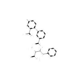 O=C(NC(Cc1ccccc1)C(O)C(=O)O)c1cccc(-c2ccc(F)cc2C(=O)O)c1